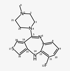 CN1CCN(C2=Nc3cccc(F)c3Nc3cscc32)CC1